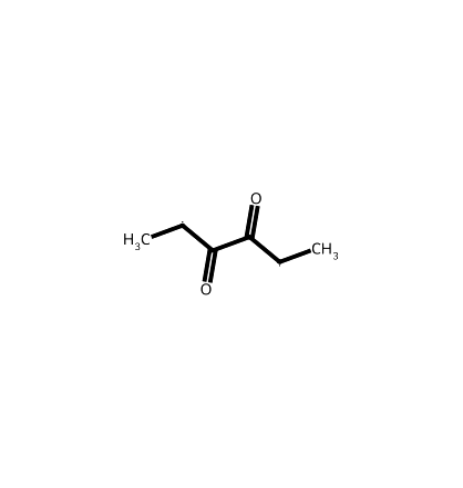 C[CH]C(=O)C(=O)[CH]C